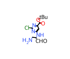 CC(C)(C)OC(=O)c1cc(NC(C=O)CN)nc(Cl)n1